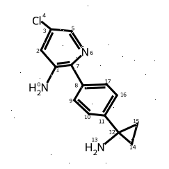 Nc1cc(Cl)cnc1-c1ccc(C2(N)CC2)cc1